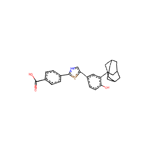 O=C(O)c1ccc(-c2ncc(-c3ccc(O)c(C45CC6CC(CC(C6)C4)C5)c3)s2)cc1